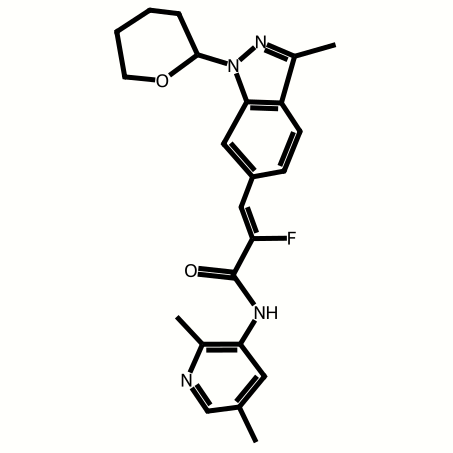 Cc1cnc(C)c(NC(=O)/C(F)=C/c2ccc3c(C)nn(C4CCCCO4)c3c2)c1